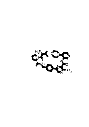 CC(C)[C@H](N)C(=O)N1CCC[C@H]1C(=O)NCc1ccc(-c2cnc(N)c(C(=O)Nc3cnccc3N3CCOCC3)n2)cc1